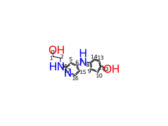 OCCNc1cc(Nc2ccc(O)cc2)ccn1